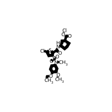 CCOc1ccc(N(C)S(=O)(=O)c2cc(Cl)sc2C(=O)Nc2cccc(C(=O)OCl)c2)cc1OC